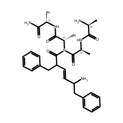 CC(C)[C@H](NC(=O)[C@H](C(C)C)N(C(=O)C(C=CC(N)Cc1ccccc1)Cc1ccccc1)C(=O)[C@H](C)NC(=O)[C@H](C)N)C(N)=O